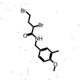 COc1ccc(CNC(=O)C(Br)CCBr)cc1C